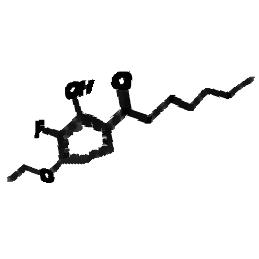 CCCCCCC(=O)c1ccc(OCC)c(F)c1O